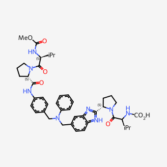 COC(=O)N[C@H](C(=O)N1CCC[C@H]1C(=O)Nc1ccc(CN(Cc2ccc3[nH]c([C@@H]4CCCN4C(=O)C(NC(=O)O)C(C)C)nc3c2)c2ccccc2)cc1)C(C)C